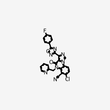 N#Cc1c(Cl)ccc2c1n(Cc1ccccn1)c(=O)c1c(-c3noc(-c4ccc(F)cc4)n3)ncn12